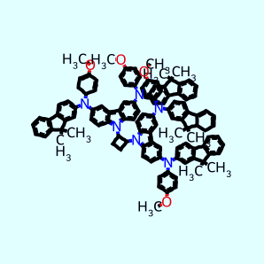 COC1=CCC(N(c2ccc3c(c2)C(C)(C)c2ccccc2-3)c2ccc3c(c2)c2cc(N(c4ccc(OC)cc4)c4ccc5c(c4)C(C)(C)c4ccccc4-5)ccc2n3C2CCC2n2c3ccc(N(c4ccc(OC)cc4)c4ccc5c(c4)C(C)(C)c4ccccc4-5)cc3c3cc(N(c4ccc(OC)cc4)c4ccc5c(c4)C(C)(C)C4CC=CC=C54)ccc32)C=C1